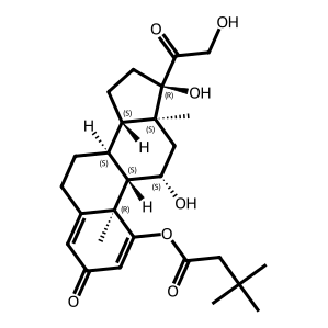 CC(C)(C)CC(=O)OC1=CC(=O)C=C2CC[C@@H]3[C@H]([C@@H](O)C[C@@]4(C)[C@H]3CC[C@]4(O)C(=O)CO)[C@]21C